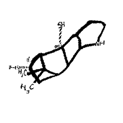 CC1(C)C2C[C@H](S)C1[C@@]1(S)C3CCNC3C21